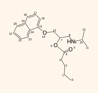 CCCCC(=O)OC(CNC(C)C)COc1cccc2ccccc12